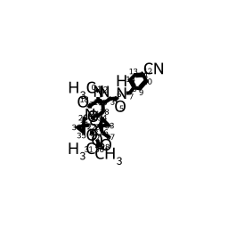 Cn1nc(C(=O)NCc2ccc(C#N)cc2)c2c1C(=O)N(CC1(S(=O)(=O)C3(C4COC(C)(C)O4)CC3)CC1)CC2